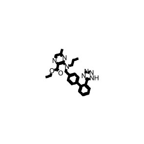 CCCN(Cc1ccc(-c2ccccc2-c2nnn[nH]2)cc1)c1nc(C)cnc1C(=O)OCC